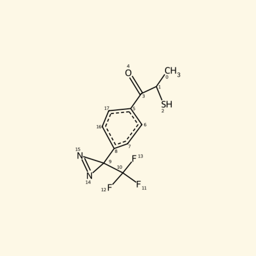 CC(S)C(=O)c1ccc(C2(C(F)(F)F)N=N2)cc1